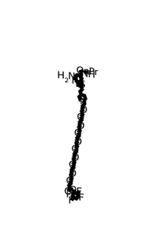 CCCNC(=O)C1=Cc2sc(CCC3CCN(CCOCCOCCOCCOCCOCCOCCOCCOCCOCCOCCC(=O)Oc4c(F)c(F)cc(F)c4F)CC3)cc2N=C(N)C1